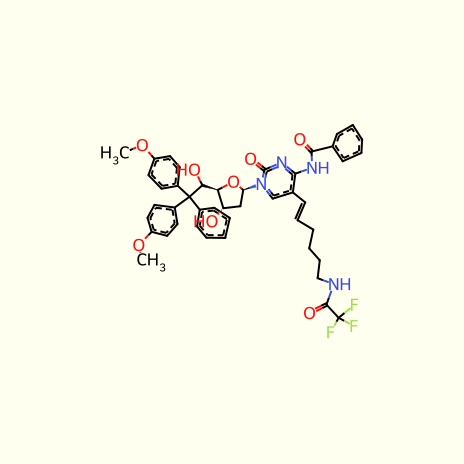 COc1ccc(C(c2ccccc2)(c2ccc(OC)cc2)C(O)[C@H]2O[C@@H](n3cc(C=CCCCCNC(=O)C(F)(F)F)c(NC(=O)c4ccccc4)nc3=O)C[C@@H]2O)cc1